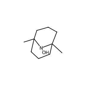 CC12CCCC(C)(CCC1)N2O